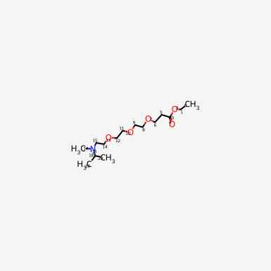 CCOC(=O)CCOCCOCCOCCN(C)C(C)C